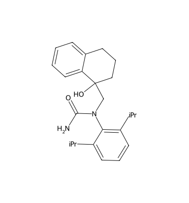 CC(C)c1cccc(C(C)C)c1N(CC1(O)CCCc2ccccc21)C(N)=O